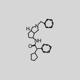 O=C(NC1CC[C@H]2CN(Cc3ccccc3)CC12)C(c1ccccc1)C1CCCC1